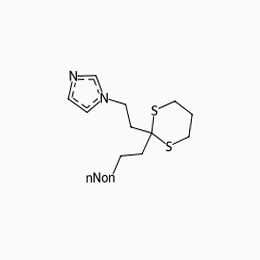 CCCCCCCCCCCC1(CCn2ccnc2)SCCCS1